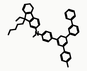 CCCCCC1(CC)C2=C(CCC=C2)c2ccc(N(C)c3ccc(C4=CC(c5ccc(C)cc5)=CC(c5cccc(-c6ccccc6)c5)C4)cc3)cc21